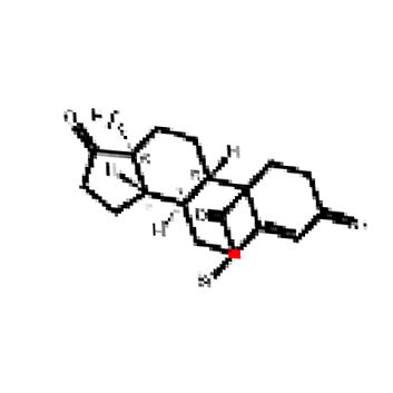 C[C@]12CC[C@H]3[C@@H](CCC4=CC(=O)CCC43C(=O)CBr)[C@@H]1CCC2=O